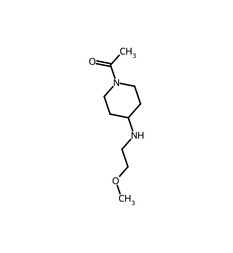 COCCNC1CCN(C(C)=O)CC1